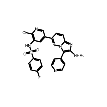 CC(=O)Nc1nc2ccc(-c3cnc(Cl)c(NS(=O)(=O)c4ccc(F)cc4)c3)nn2c1-c1ccncc1